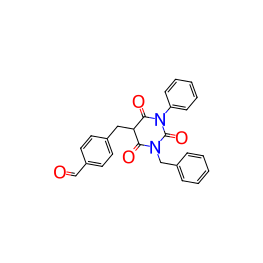 O=Cc1ccc(CC2C(=O)N(Cc3ccccc3)C(=O)N(c3ccccc3)C2=O)cc1